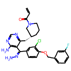 C=CC(=O)N1CCC[C@H](Cc2ncnc(N)c2/C(=N\N)c2ccc(OCc3cccc(F)c3)c(Cl)c2)C1